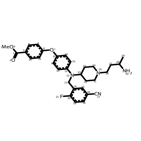 COC(=O)c1ccc(Oc2ccc(N(Cc3cc(C#N)ccc3F)C3CCN(CCC(C)N)CC3)cc2)cc1